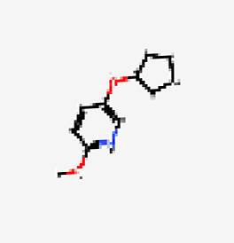 COc1ccc(OC2CCCC2)cn1